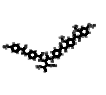 C=C(N)C(OC)C(NC(=O)c1ccc(NC(=O)c2ccc([N+](=O)[O-])cc2)cc1)C(=O)Nc1ccc(C(=O)Nc2ccc(C(=O)Nc3ccc(C(=O)O)cc3OC(C)C)cc2OC(C)C)cc1